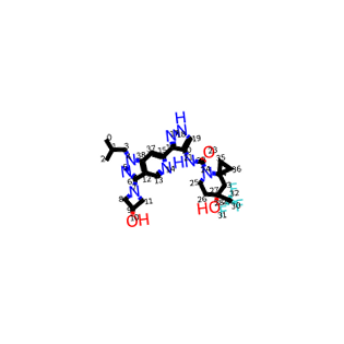 CC(C)Cn1nc(N2CC(O)C2)c2cnc(-c3n[nH]cc3NC(=O)N3CCC(O)(C(F)(F)F)CC34CC4)cc21